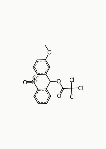 COc1cccc(C(OC(=O)C(Cl)(Cl)Cl)c2ccccc2[N+](=O)[O-])c1